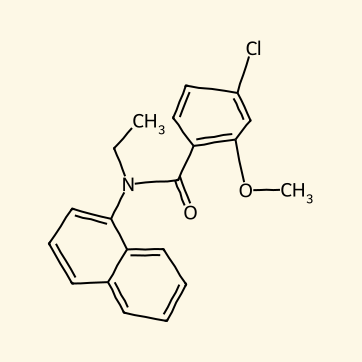 CCN(C(=O)c1ccc(Cl)cc1OC)c1cccc2ccccc12